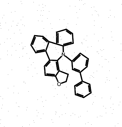 c1ccc(-c2cccc(N3c4ccccc4-c4ccccc4-c4ccc5c(c43)CCO5)c2)cc1